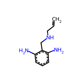 C=CCNCc1c(N)cccc1N